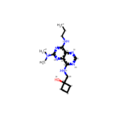 CCCNc1nc(N(C)C)nc2c(NCC3(O)CCC3)ncnc12